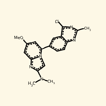 COc1cc(-c2ccc3nc(C)nc(Cl)c3c2)n2cc(N(C)C)nc2c1